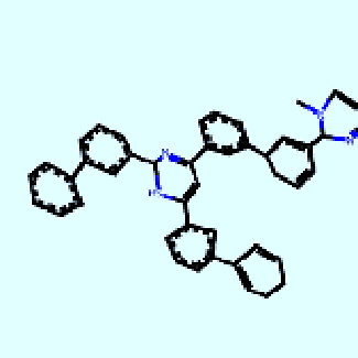 CN1C=CC=NC1C1=CC(c2cccc(C3=NC(c4cccc(-c5ccccc5)c4)NC(c4cccc(C5=CCCC=C5)c4)=C3)c2)CC=C1